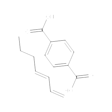 C=CC=CCCC.O=C(O)c1ccc(C(=O)O)cc1